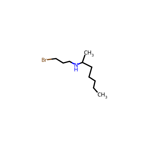 CCCCCC(C)NCCCBr